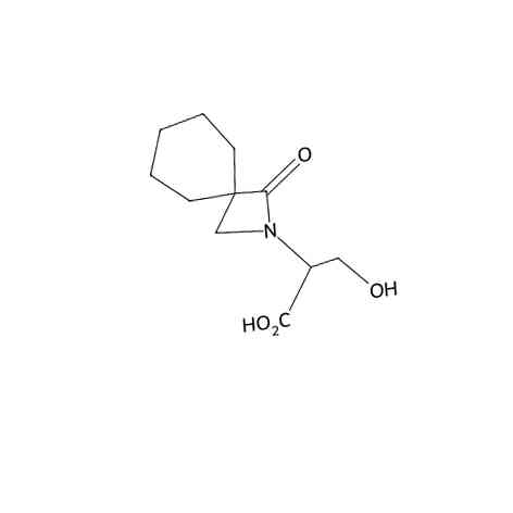 O=C(O)C(CO)N1CC2(CCCCC2)C1=O